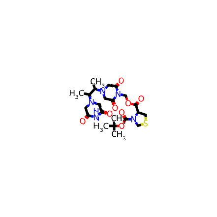 CC(C(C)N1CC(=O)N(COC(=O)C2CSCN2C(=O)OC(C)(C)C)C(=O)C1)N1CC(=O)NC(=O)C1